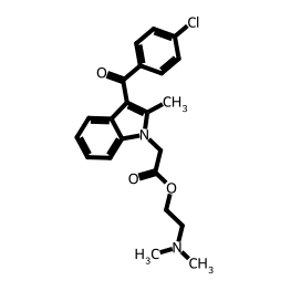 Cc1c(C(=O)c2ccc(Cl)cc2)c2ccccc2n1CC(=O)OCCN(C)C